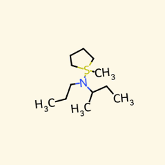 CCCN(C(C)CC)S1(C)CCCC1